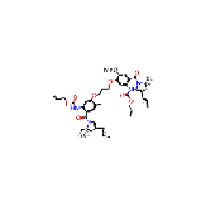 C=CCOC(=O)Nc1cc(OCCCOc2cc(NC(=O)OCC=C)c(C(=O)N3C=C(/C=C/C)C[C@H]3COC(C)=O)cc2C)c(OC)cc1C(=O)N1C=C(/C=C/C)C[C@H]1CC